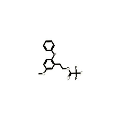 COc1ccc([I+]c2ccccc2)c(CCOC(=O)C(F)(F)F)c1